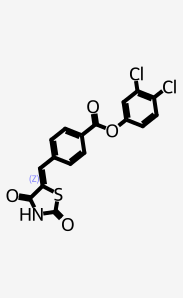 O=C1NC(=O)/C(=C/c2ccc(C(=O)Oc3ccc(Cl)c(Cl)c3)cc2)S1